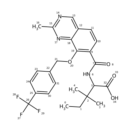 CCC(C)(C)C(NC(=O)c1ccc2cnc(C)nc2c1OCc1ccc(C(F)(F)F)cc1)C(=O)O